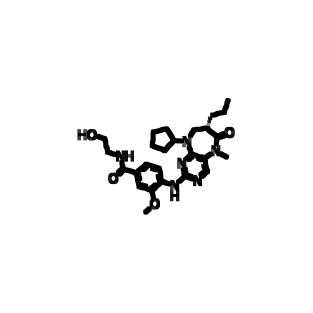 CCC[C@H]1CN(C2CCCC2)c2nc(Nc3ccc(C(=O)NCCO)cc3OC)ncc2N(C)C1=O